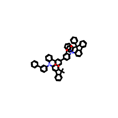 CC1(C)c2ccccc2-c2cc(N(c3cccc(-c4ccccc4)c3)c3ccccc3-c3cccc(-c4ccc5c(c4)c4ccccc4n5-c4cccc5c4C(c4ccccc4)(c4ccccc4)c4ccccc4-5)c3)ccc21